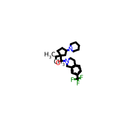 CC(C)C1(C(=O)N2CCc3ccc(C(F)(F)F)cc3C2)CCC(N2CCCCC2)C1